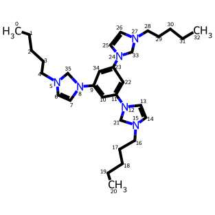 CCCCCN1C=CN(c2cc(N3C=CN(CCCCC)C3)cc(N3C=CN(CCCCC)C3)c2)C1